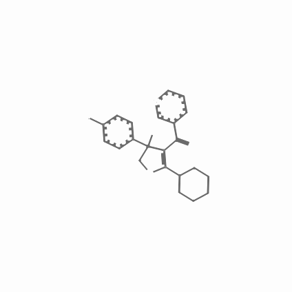 O=C(C1=C(C2CCCCC2)SCC1(O)c1ccc(Cl)cc1)c1cccnc1